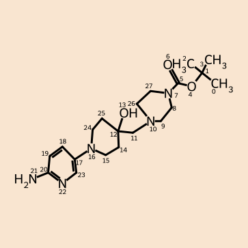 CC(C)(C)OC(=O)N1CCN(CC2(O)CCN(c3ccc(N)nc3)CC2)CC1